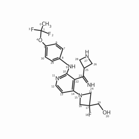 CC(F)(F)Oc1ccc(Nc2nccc(N3CC(F)(CO)C3)c2C(=N)C2CNC2)cc1